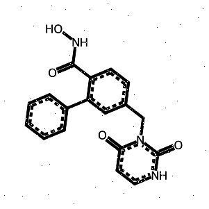 O=C(NO)c1ccc(Cn2c(=O)cc[nH]c2=O)cc1-c1ccccc1